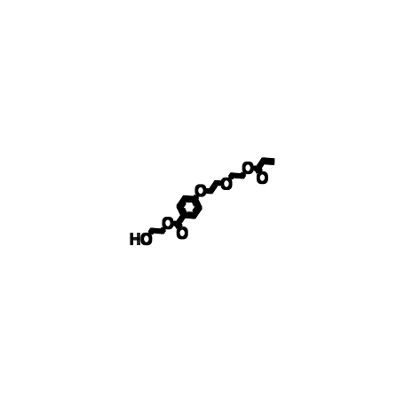 C=CC(=O)OCCOCCOc1ccc(C(=O)OCCO)cc1